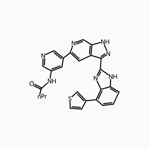 CCCC(=O)Nc1cncc(-c2cc3c(-c4nc5c(-c6ccsc6)cccc5[nH]4)n[nH]c3cn2)c1